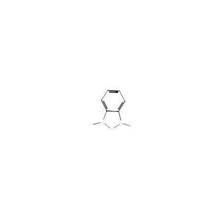 CC(C)(C)N1NN(O)c2ccccc21